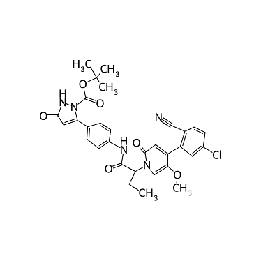 CCC(C(=O)Nc1ccc(-c2cc(=O)[nH]n2C(=O)OC(C)(C)C)cc1)n1cc(OC)c(-c2cc(Cl)ccc2C#N)cc1=O